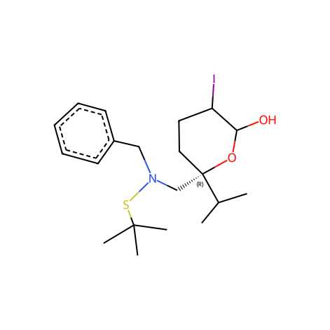 CC(C)[C@@]1(CN(Cc2ccccc2)SC(C)(C)C)CCC(I)C(O)O1